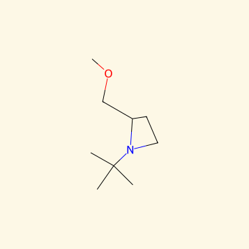 COCC1CCN1C(C)(C)C